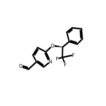 O=Cc1ccc(O[C@@H](c2ccccc2)C(F)(F)F)nc1